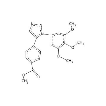 COC(=O)c1ccc(-c2cnnn2-c2cc(OC)c(OC)c(OC)c2)cc1